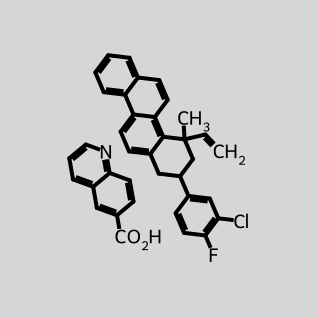 C=CC1(C)CC(c2ccc(F)c(Cl)c2)Cc2ccc3c(ccc4ccccc43)c21.O=C(O)c1ccc2ncccc2c1